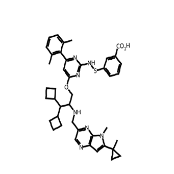 Cc1cccc(C)c1-c1cc(OCC(NCc2cnc3cc(C4(C)CC4)n(C)c3n2)C(C2CCC2)C2CCC2)nc(NSc2cccc(C(=O)O)c2)n1